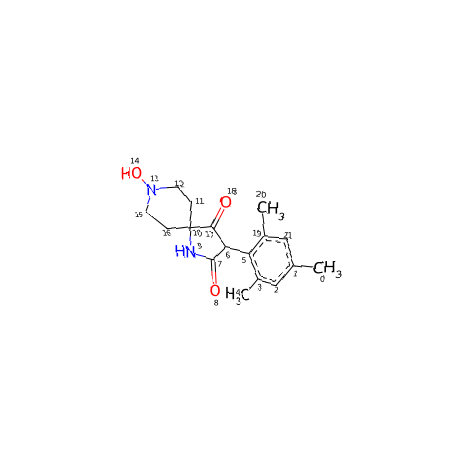 Cc1cc(C)c(C2C(=O)NC3(CCN(O)CC3)C2=O)c(C)c1